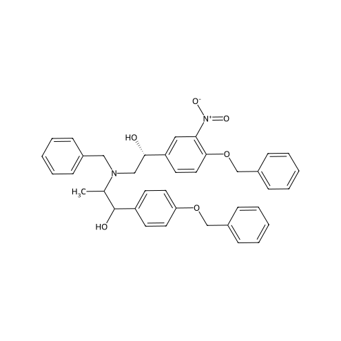 CC(C(O)c1ccc(OCc2ccccc2)cc1)N(Cc1ccccc1)C[C@H](O)c1ccc(OCc2ccccc2)c([N+](=O)[O-])c1